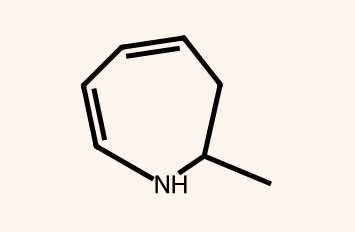 CC1CC=CC=CN1